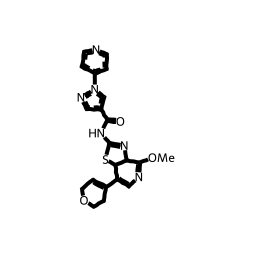 COC1=NC=C(C2=CCOCC2)C2SC(NC(=O)c3cnn(-c4ccncc4)c3)=NC12